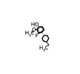 CC[C@H]1CC[C@H](c2ccc(O)c(OC)c2F)CC1